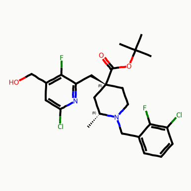 C[C@@H]1C[C@](Cc2nc(Cl)cc(CO)c2F)(C(=O)OC(C)(C)C)CCN1Cc1cccc(Cl)c1F